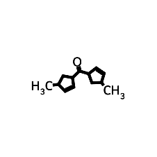 CC1C=CC(C(=O)C2C=CC(C)C2)C1